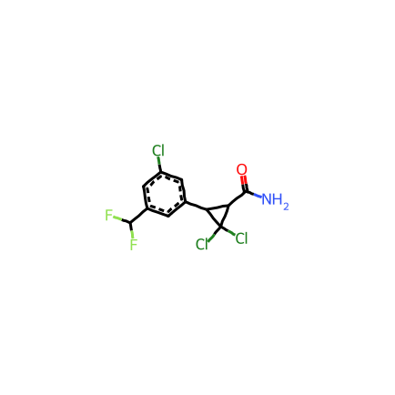 NC(=O)C1C(c2cc(Cl)cc(C(F)F)c2)C1(Cl)Cl